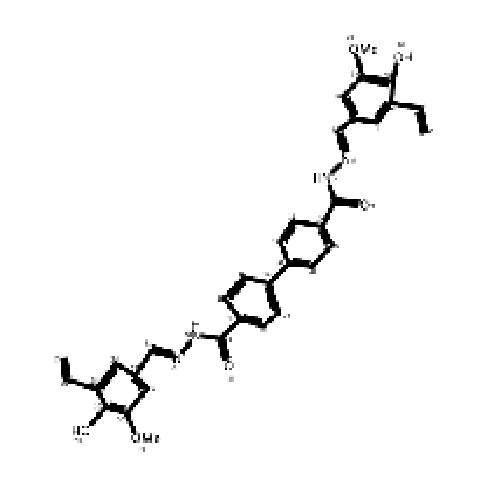 C=Cc1cc(/C=N/NC(=O)c2ccc(-c3ccc(C(=O)N/N=C/c4cc(C=C)c(O)c(OC)c4)cc3)cc2)cc(OC)c1O